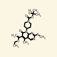 C=C(OCC)c1c(C)c2cnc(SC)nc2n(C2CCN(C(=O)OC(C)(C)C)CC2)c1=O